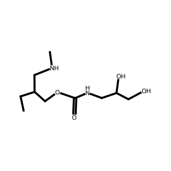 CCC(CNC)COC(=O)NCC(O)CO